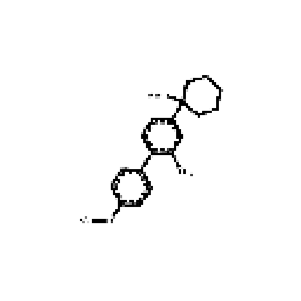 CCCCCC1(c2ccc(-c3ccc(OCCCC)cc3)c(C)c2)CCCCC1